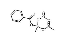 C[SiH]1O[SiH](C)O[Si](C)(OC(=O)c2ccccc2)O1